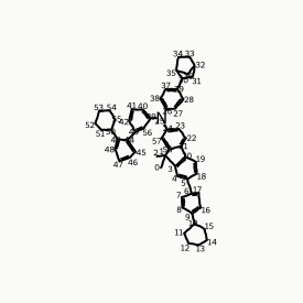 CC1(C)c2cc(-c3ccc(C4CCCCC4)cc3)ccc2-c2ccc(N(c3ccc(C4CC5CCC4C5)cc3)c3cccc(-c4ccccc4C4CCCCC4)c3)cc21